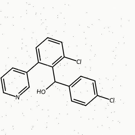 OC(c1ccc(Cl)cc1)c1c(Cl)cccc1-c1cccnc1